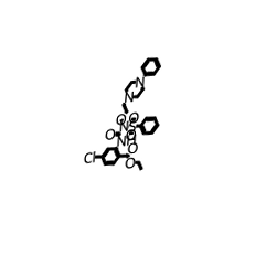 CCOC(=O)c1ccc(Cl)cc1NC(=O)N(OCCN1CCN(c2ccccc2)CC1)S(=O)(=O)c1ccccc1